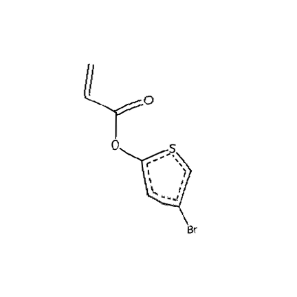 C=CC(=O)Oc1cc(Br)cs1